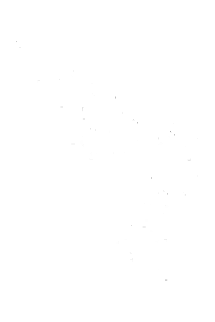 C=CCOc1ccc(CC(NC(=O)c2noc3c2CN(S(=O)(=O)c2cccc(C(F)(F)F)c2)CC3)c2ccco2)cc1